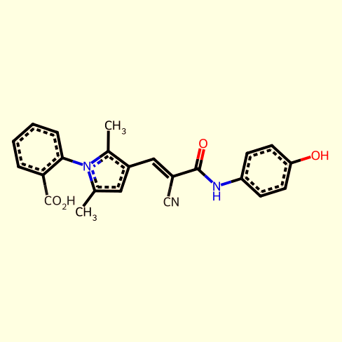 Cc1cc(/C=C(\C#N)C(=O)Nc2ccc(O)cc2)c(C)n1-c1ccccc1C(=O)O